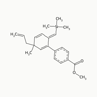 C=CCC1(C)C=C/C(=C\[Si](C)(C)C)C(c2ccc(C(=O)OC)cc2)=C1